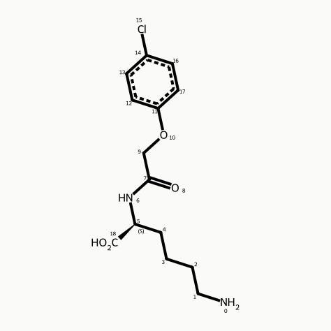 NCCCC[C@H](NC(=O)COc1ccc(Cl)cc1)C(=O)O